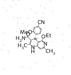 CCOc1nc(C)cc2c1[C@@H](c1ccc(C#N)cc1OC)C(C(N)=O)=C(C)N2